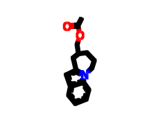 CC(=O)OCC1CCCn2c(cc3ccccc32)C1